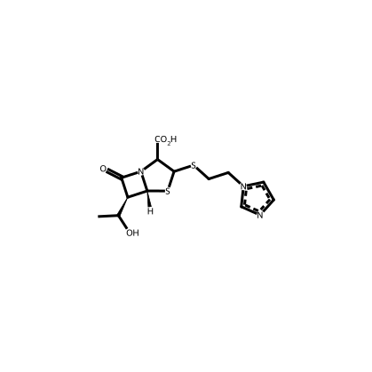 CC(O)[C@H]1C(=O)N2C(C(=O)O)C(SCCn3ccnc3)S[C@H]12